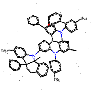 Cc1cc2c3c(c1)N(c1ccc(C(C)(C)C)cc1-c1ccccc1)c1ccc(-c4ccccc4)cc1B3c1ccc(N3c4ccc(C(C)(C)C)cc4C4(c5ccccc5)CCc5ccccc5C34C)cc1N2c1ccc(C(C)(C)C)cc1